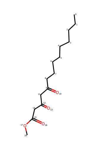 CCCCCCCCCC(=O)CC(=O)CC(=O)OC